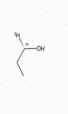 [2H][C@H](O)CC